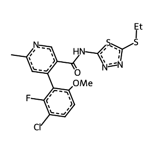 CCSc1nnc(NC(=O)c2cnc(C)cc2-c2c(OC)ccc(Cl)c2F)s1